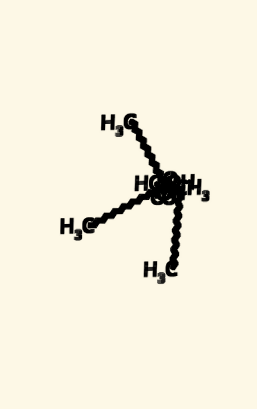 CCCCCCCCCCCCCCCCC(C)C(=O)C(O)C(O)(C(=O)CCCCCCCCCCCCCCC)C(O)C(=O)CCCCCCCCCCCCCCC